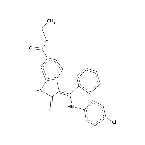 CCOC(=O)c1ccc2c(c1)NC(=O)/C2=C(\Nc1ccc(Cl)cc1)c1ccccc1